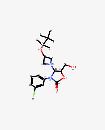 CC(C)(C)[Si](C)(C)OC1CN(C2C(CO)OC(=O)N2c2cccc(F)c2)C1